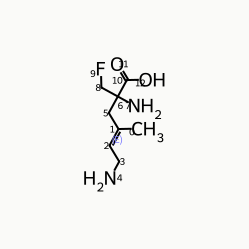 C/C(=C\CN)CC(N)(CF)C(=O)O